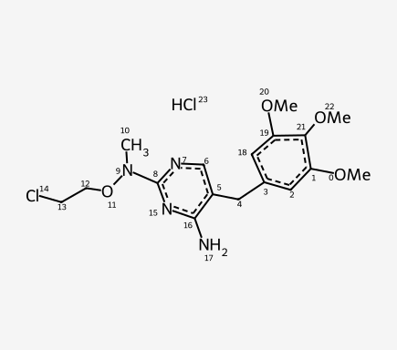 COc1cc(Cc2cnc(N(C)OCCCl)nc2N)cc(OC)c1OC.Cl